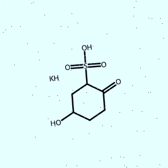 O=C1CCC(O)CC1S(=O)(=O)O.[KH]